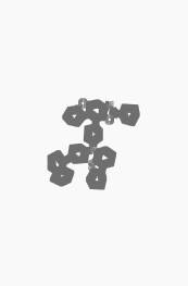 c1ccc(-c2nc3cc4oc5ccccc5c4c(-c4ccc(N(c5ccc(-c6cccc7ccccc67)cc5)c5cccc6c5sc5ccccc56)cc4)c3o2)cc1